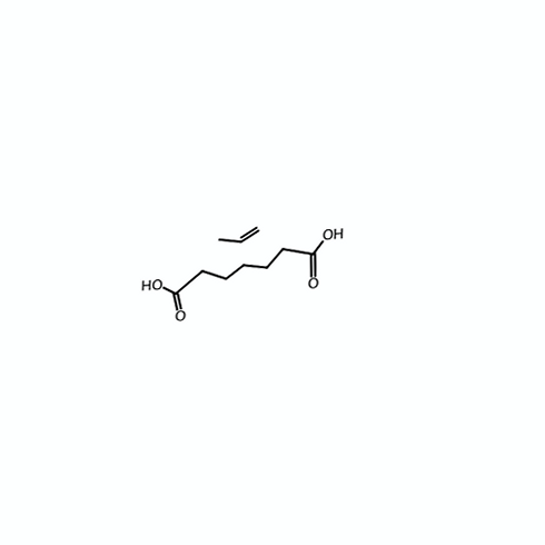 C=CC.O=C(O)CCCCCC(=O)O